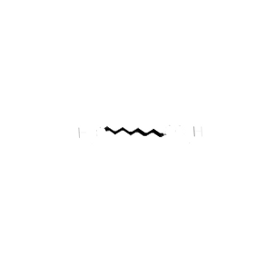 C=CCCCC=CC=CC(=O)O